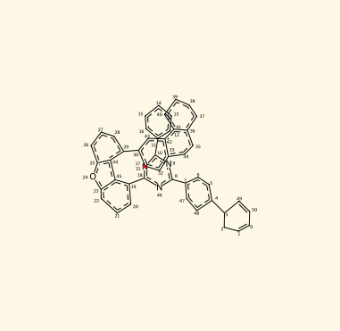 C1=CCC(c2ccc(-c3nc(-c4ccccc4)nc(-c4cccc5oc6cccc(-c7ccc8ccc9ccccc9c8c7)c6c45)n3)cc2)C=C1